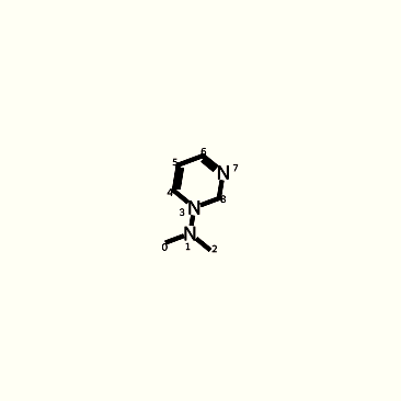 CN(C)N1C=CC=NC1